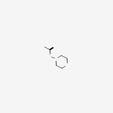 CC(=O)[N]N1CCOCC1